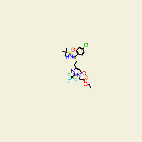 CCOC(=O)Cn1c(C(F)(F)F)nc(CC[C@H](N[S@@+]([O-])C(C)(C)C)c2ccc(Cl)cc2)cc1=O